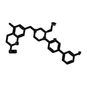 Cc1cc(CN2CCN(c3ccc(-c4cccc(F)c4)cn3)[C@H](CC(C)C)C2)cc2c1CCC(C=O)O2